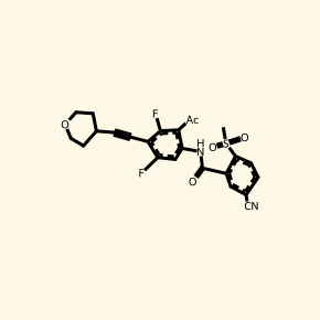 CC(=O)c1c(NC(=O)c2cc(C#N)ccc2S(C)(=O)=O)cc(F)c(C#CC2CCOCC2)c1F